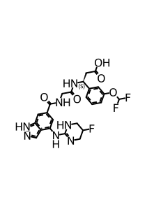 O=C(O)C[C@H](NC(=O)CNC(=O)c1cc(NC2=NCC(F)CN2)c2cn[nH]c2c1)c1cccc(OC(F)F)c1